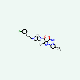 Cc1nn(-c2ccc(C(F)(F)F)cn2)c(C(N)=O)c1C(=O)N1CC2CN(CC[CH]c3cccc(F)c3)C[C@H]2C1